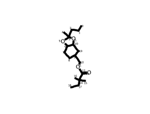 CCCC1(C)OC2CCC(COC(=O)C(C)(C)CC)CC2O1